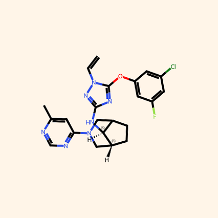 C=Cn1nc(N[C@H]2C3CC[C@@H]2CN(c2cc(C)ncn2)C3)nc1Oc1cc(F)cc(Cl)c1